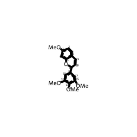 COc1ccc2c(c1)OC(c1cc(OC)c(OC)c(OC)c1)C=C2